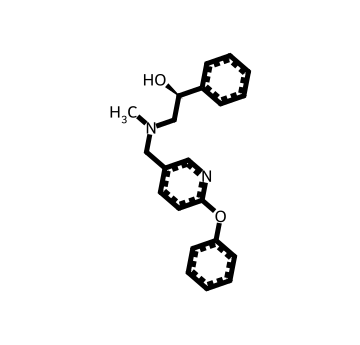 CN(Cc1ccc(Oc2ccccc2)nc1)C[C@@H](O)c1ccccc1